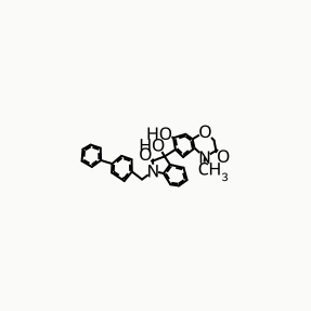 CN1C(=O)COc2cc(O)c(C3(O)C(=O)N(Cc4ccc(-c5ccccc5)cc4)c4ccccc43)cc21